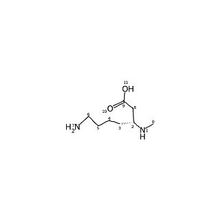 CN[C@H](CCCCN)CC(=O)O